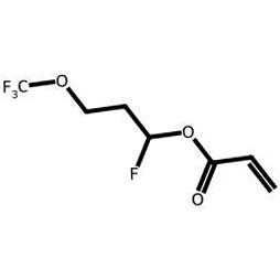 C=CC(=O)OC(F)CCOC(F)(F)F